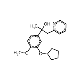 COc1ccc(C(C)(O)Cc2ccccn2)cc1OC1CCCC1